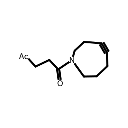 CC(=O)CCC(=O)N1CCC#CCCC1